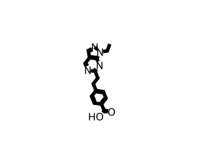 CCn1ncc2cnc(CCc3ccc(C(=O)O)cc3)nc21